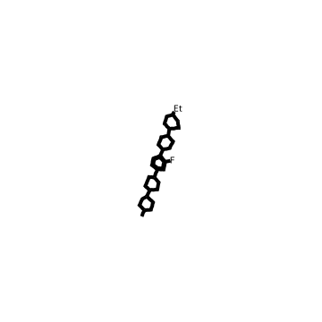 CCC1CCC(C2CCC(c3ccc(C4CCC(C5CCC(C)CC5)CC4)cc3F)CC2)CC1